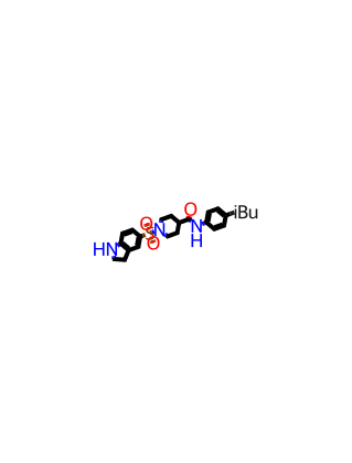 CCC(C)c1ccc(NC(=O)C2CCN(S(=O)(=O)c3ccc4c(c3)CCN4)CC2)cc1